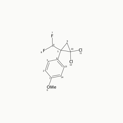 COc1ccc(C2([C](F)F)CC2(Cl)Cl)cc1